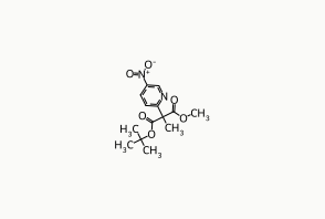 COC(=O)C(C)(C(=O)OC(C)(C)C)c1ccc([N+](=O)[O-])cn1